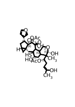 CC(=O)O[C@@H](CC=C(C)O)C1(C)C2C[C@H](O)[C@]3(S)C[C@]45C[C@H]4C[C@H](c4ccoc4)[C@@]5(C)[C@H](OC(C)=O)C(=O)C3[C@@]2(C)CO[C@@H]1O